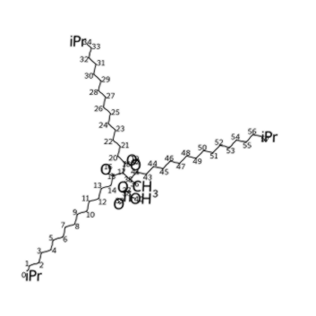 CC(C)CCCCCCCCCCCCCCC(=O)C(C(=O)CCCCCCCCCCCCCCC(C)C)C(C)([O][Ti](=[O])[OH])C(=O)CCCCCCCCCCCCCCC(C)C